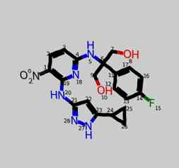 O=[N+]([O-])c1ccc(NC(CO)(CO)c2ccc(F)cc2)nc1Nc1cc(C2CC2)[nH]n1